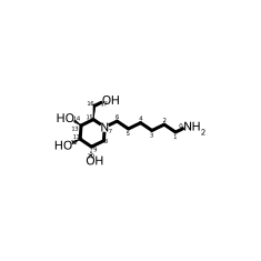 NCCCCCCN1C[C@H](O)[C@@H](O)[C@@H](O)[C@H]1CO